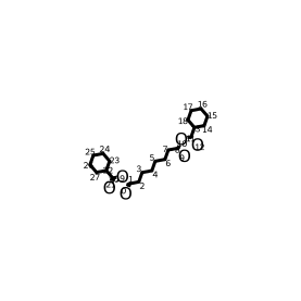 O=C(CCCCCCC(=O)OC(=O)C1CCCCC1)OC(=O)C1CCCCC1